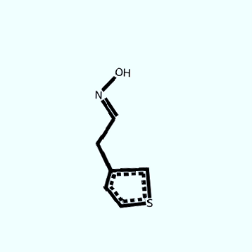 ON=CCc1ccsc1